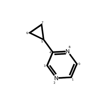 [c]1cncc(C2CC2)n1